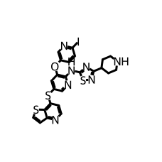 Ic1ccc(Oc2cc(Sc3ccnc4ccsc34)cnc2Nc2nc(C3CCNCC3)ns2)cn1